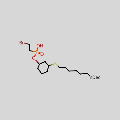 CCCCCCCCCCCCCCCCSC1CCCC(OP(=O)(O)CCBr)C1